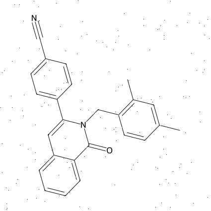 Cc1ccc(Cn2c(-c3ccc(C#N)cc3)cc3ccccc3c2=O)c(C)c1